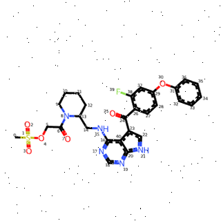 CS(=O)(=O)OCC(=O)N1CCCCC1CNc1ncnc2[nH]cc(C(=O)c3ccc(Oc4ccccc4)cc3F)c12